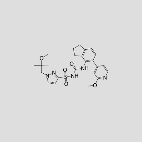 COc1cc(-c2ccc3c(c2NC(=O)NS(=O)(=O)c2ccn(CC(C)(C)OC)n2)CCC3)ccn1